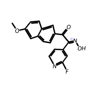 COc1ccc2cc(C(=O)/C(=N/O)c3ccnc(F)c3)ccc2c1